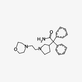 NC(=O)C(c1ccccc1)(c1ccccc1)C1CCN(CCN2CCOCC2)C1